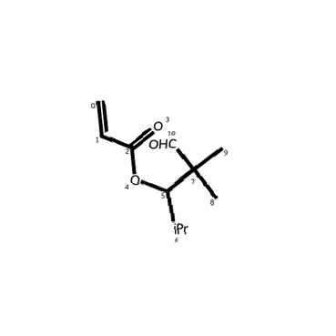 C=CC(=O)OC(C(C)C)C(C)(C)C=O